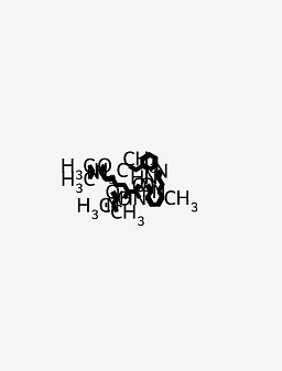 Cc1ccc(NC(=O)C(CCC=CC(=O)N(C)C)OC(=O)N(C)C)c(=O)n1Cc1nc2cccc(CC(C)C)c2[nH]1